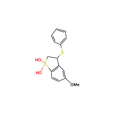 COc1ccc2c(c1)C(Sc1ccccc1)CS2(O)O